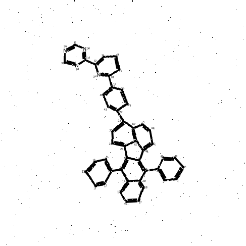 c1ccc(-c2c3c(c(-c4ccccc4)c4ccccc24)-c2ccc(-c4ccc(-c5cccc(-c6ncncn6)n5)cc4)c4cccc-3c24)cc1